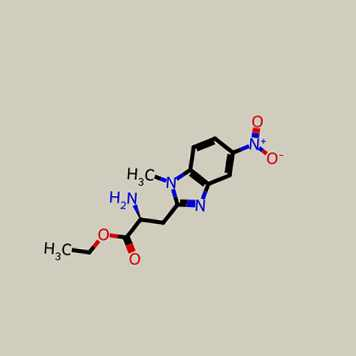 CCOC(=O)[C@@H](N)Cc1nc2cc([N+](=O)[O-])ccc2n1C